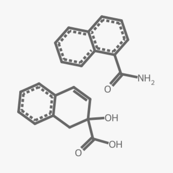 NC(=O)c1cccc2ccccc12.O=C(O)C1(O)C=Cc2ccccc2C1